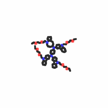 CCOCCOCCN1C/C=C\C(N(c2ccc(N(c3ccc4c(c3)c3ccccc3n4CCOCCOCC)c3ccc4c(c3)c3ccccc3n4CCOCCOCC)cc2)c2ccc3c(c2)c2c(n3CCOCCOCC)C=CCC2)=C/Cc2ccccc21